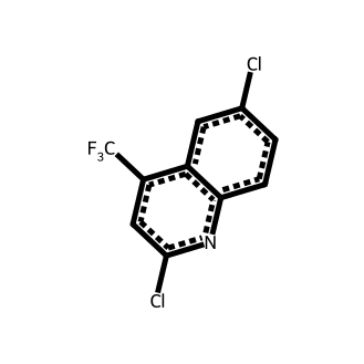 FC(F)(F)c1cc(Cl)nc2ccc(Cl)cc12